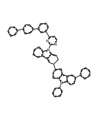 C1=c2c(n(-c3nccc(-c4cccc(-c5ccc(-c6ccccc6)cc5)c4)n3)c3ccccc23)=CCC1c1ccc2c(c1)c1cc(-c3ccccc3)ccc1n2-c1ccccc1